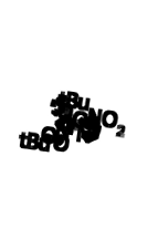 CC(C)(C)OC(=O)N1C[C@H](Oc2ncccc2[N+](=O)[O-])[C@@H](O[Si](C)(C)C(C)(C)C)C1